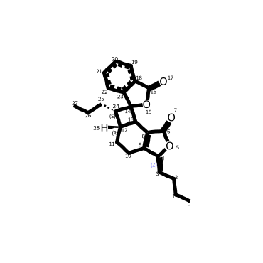 CCC/C=C1\OC(=O)C2=C1CC[C@H]1C2C2(OC(=O)c3ccccc32)[C@H]1CCC